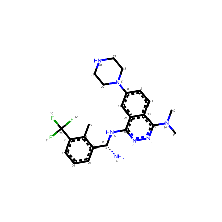 Cc1c([C@@H](N)Nc2nnc(N(C)C)c3ccc(N4CCNCC4)cc23)cccc1C(F)(F)F